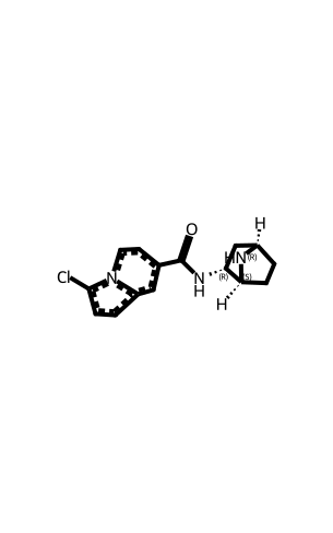 O=C(N[C@@H]1C[C@H]2CC[C@@H]1N2)c1ccn2c(Cl)ccc2c1